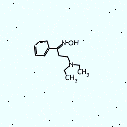 CCN(CC)CCC(=NO)c1ccccc1